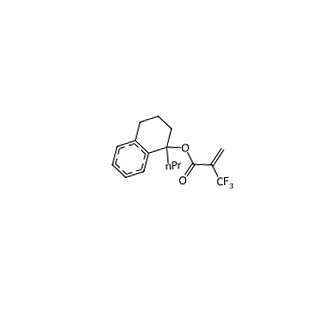 C=C(C(=O)OC1(CCC)CCCc2ccccc21)C(F)(F)F